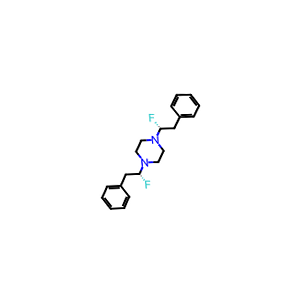 F[C@H](Cc1ccccc1)N1CCN([C@H](F)Cc2ccccc2)CC1